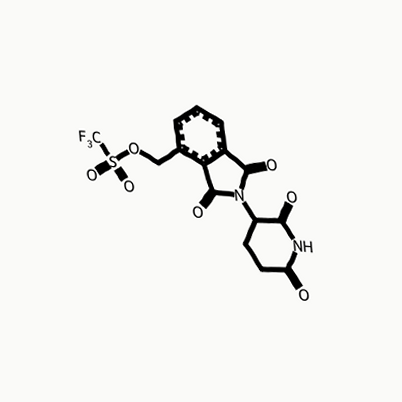 O=C1CCC(N2C(=O)c3cccc(COS(=O)(=O)C(F)(F)F)c3C2=O)C(=O)N1